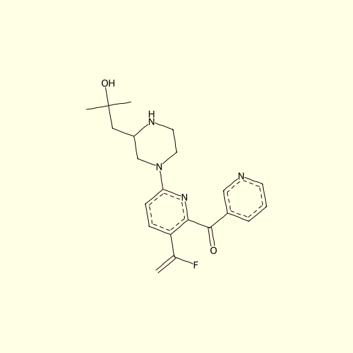 C=C(F)c1ccc(N2CCNC(CC(C)(C)O)C2)nc1C(=O)c1cccnc1